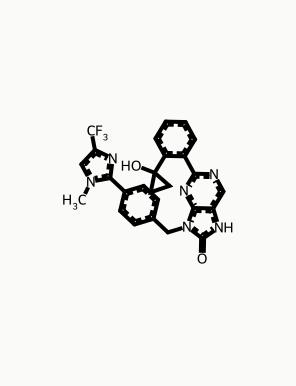 Cn1cc(C(F)(F)F)nc1-c1ccc(Cn2c(=O)[nH]c3cnc(-c4ccccc4C4(O)CC4)nc32)cc1